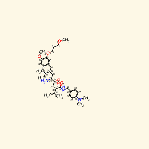 COCCCOc1cc(C[C@@H](C[C@H](N)[C@@H](O)C[C@H](C(=O)NCc2ccc(N(C)C)cc2)C(C)C)C(C)C)ccc1OC